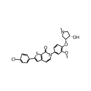 COc1cc(-n2ccc3cc(-c4ccc(Cl)cc4)sc3c2=O)ccc1O[C@H]1CN(C)C[C@@H]1O